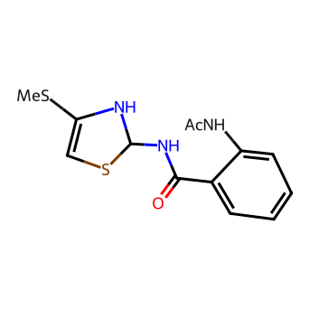 CSC1=CSC(NC(=O)c2ccccc2NC(C)=O)N1